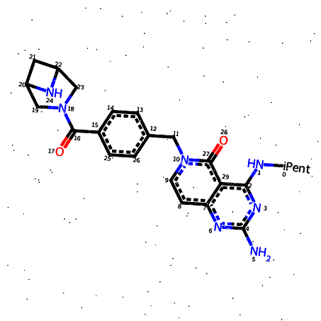 CCCC(C)Nc1nc(N)nc2ccn(Cc3ccc(C(=O)N4CC5CC(C4)N5)cc3)c(=O)c12